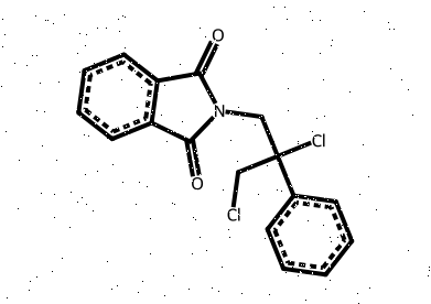 O=C1c2ccccc2C(=O)N1CC(Cl)(CCl)c1ccccc1